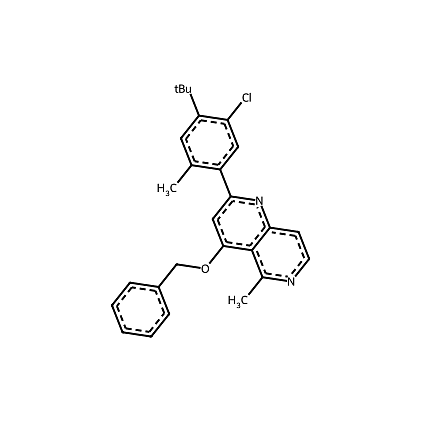 Cc1cc(C(C)(C)C)c(Cl)cc1-c1cc(OCc2ccccc2)c2c(C)nccc2n1